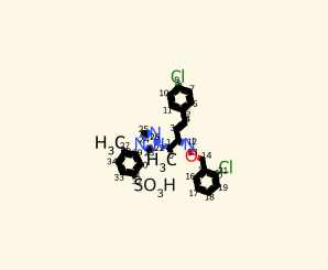 CC(C(C=Cc1ccc(Cl)cc1)=NOCc1ccccc1Cl)n1cncn1.Cc1ccc(S(=O)(=O)O)cc1